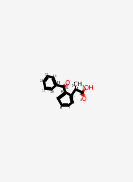 C[C@H](C(=O)O)c1ccccc1C(=O)c1ccccc1